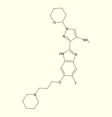 Nc1cn(C2CCCCO2)nc1-c1nc2cc(F)c(OCCCN3CCCCC3)cc2[nH]1